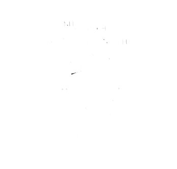 CN(C)[C@]1(C)C(O)=C(C(N)=O)C(=O)[C@@]2(O)C(O)=C3C(=O)c4c(O)cccc4C(C)(C)C3CC21